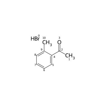 Br.CC(=O)c1ccccc1C